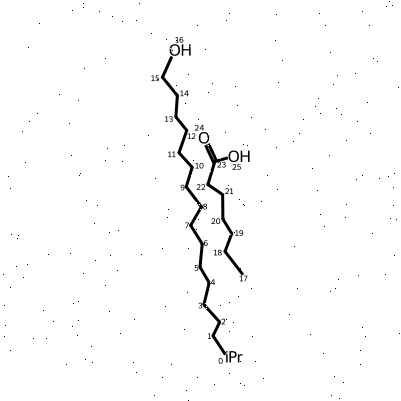 CC(C)CCCCCCCCCCCCCCCO.CCCCCCC(=O)O